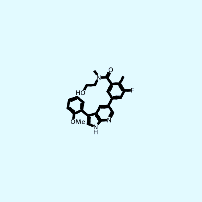 COc1ccccc1-c1c[nH]c2ncc(-c3cc(F)c(C)c(C(=O)N(C)CCO)c3)cc12